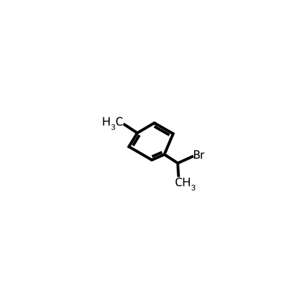 Cc1ccc(C(C)Br)cc1